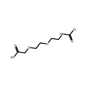 CCC(=O)NCCOCCOCC(=O)C(C)C